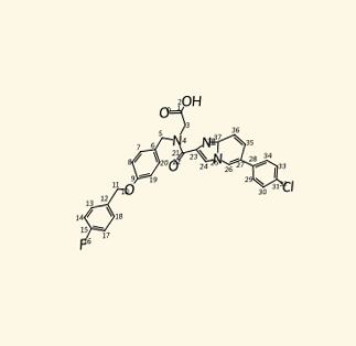 O=C(O)CN(Cc1ccc(OCc2ccc(F)cc2)cc1)C(=O)c1cn2cc(-c3ccc(Cl)cc3)ccc2n1